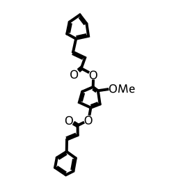 COc1cc(OC(=O)/C=C/c2ccccc2)ccc1OC(=O)/C=C/c1ccccc1